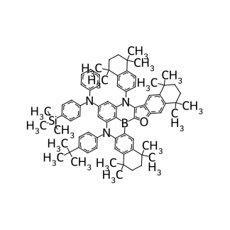 CC(C)(C)c1ccc(N2c3cc4c(cc3B3c5oc6cc7c(cc6c5N(c5ccc6c(c5)C(C)(C)CCC6(C)C)c5cc(N(c6ccccc6)c6ccc([Si](C)(C)C)cc6)cc2c53)C(C)(C)CCC7(C)C)C(C)(C)CCC4(C)C)cc1